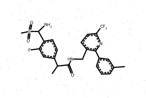 Cc1cccc(-c2nc(C(F)(F)F)ccc2CNC(=O)C(C)c2ccc(C(N)S(C)(=O)=O)c(F)c2)c1